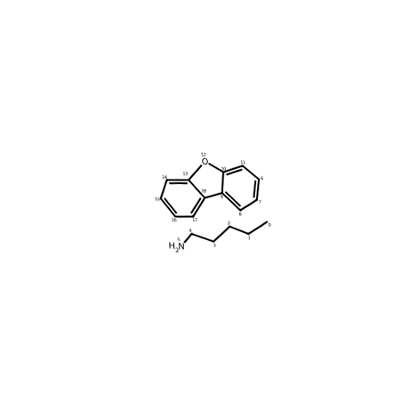 CCCCCN.c1ccc2c(c1)oc1ccccc12